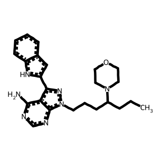 CCCC(CCCn1nc(-c2cc3ccccc3[nH]2)c2c(N)ncnc21)N1CCOCC1